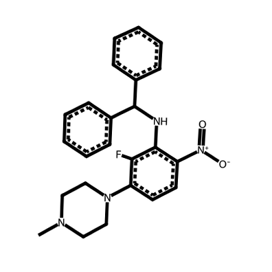 CN1CCN(c2ccc([N+](=O)[O-])c(NC(c3ccccc3)c3ccccc3)c2F)CC1